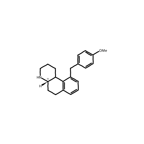 COc1ccc(Cc2cccc3c2C2CCCN[C@H]2CC3)cc1